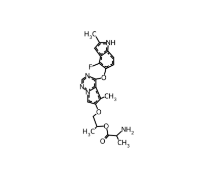 Cc1cc2c(F)c(Oc3ncnn4cc(OC[C@H](C)OC(=O)C(C)N)c(C)c34)ccc2[nH]1